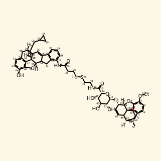 CCOc1ccc2c3c1O[C@H]1[C@@H](O[C@@H]4O[C@H](C(=O)NCCSSCCC(=O)Nc5cccc6c5CC5C6=C[C@@]6(O)[C@H]7Cc8ccc(O)c9c8[C@@]6(CCN7CC6CC6)[C@H]5O9)[C@@H](O)[C@H](O)[C@H]4O)C=CC4[C@@H](C2)N(C)CC[C@@]341